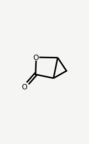 O=C1OC2CC12